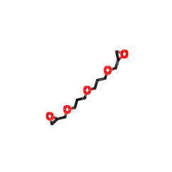 C(COCCCOCC1CO1)COCC1CO1